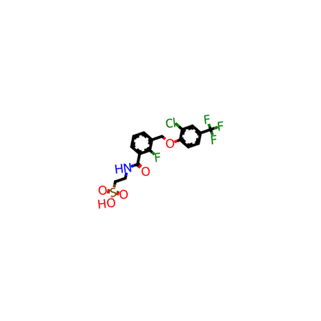 O=C(NCCS(=O)(=O)O)c1cccc(COc2ccc(C(F)(F)F)cc2Cl)c1F